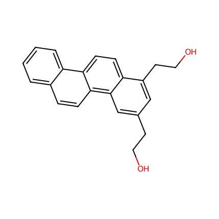 OCCc1cc(CCO)c2ccc3c4ccccc4ccc3c2c1